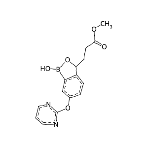 COC(=O)CCC1OB(O)c2cc(Oc3ncccn3)ccc21